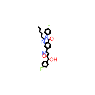 CCCCCc1nc2cc(-c3cc([C@@H](O)c4ccc(F)cc4)on3)ccc2c(=O)n1-c1ccc(F)cc1